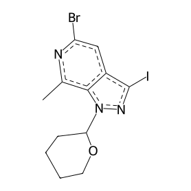 Cc1nc(Br)cc2c(I)nn(C3CCCCO3)c12